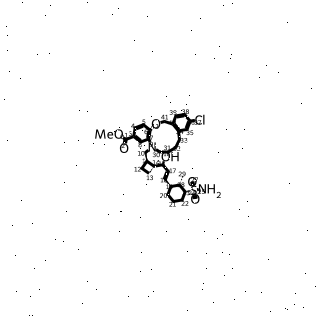 COC(=O)c1ccc2c(c1)N(C[C@@H]1CC[C@H]1[C@@H](O)/C=C/[C@@H]1CCC[C@@H](S(N)(=O)=O)[C@H]1C)CCCCc1cc(Cl)ccc1CO2